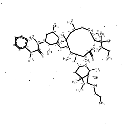 CCCNC[C@]1(O)[C@H](C)O[C@@H](O[C@H]2[C@H](C)[C@@H](O[C@@H]3O[C@H](C)C[C@H](N(C)C(=O)N(C)c4ccccc4)[C@H]3O)[C@](C)(O)C[C@@H](C)CN[C@H](C)[C@H]([C@](C)(O)[C@H](O)CC)OC(=O)[C@@H]2C)C[C@@]1(C)OC